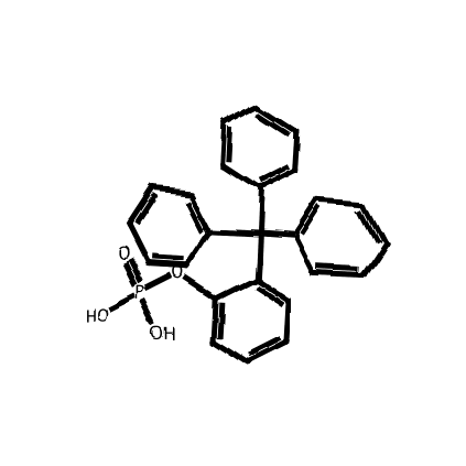 O=P(O)(O)Oc1ccccc1C(c1ccccc1)(c1ccccc1)c1ccccc1